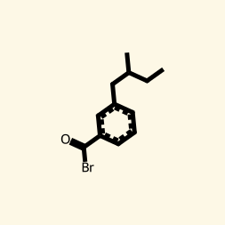 CCC(C)Cc1cccc(C(=O)Br)c1